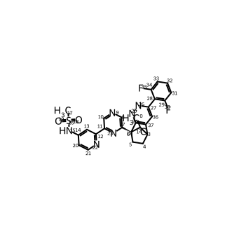 CC12CC13CC[C@]2(c1cncc(-c2cc(NS(C)(=O)=O)ccn2)n1)c1nnc(-c2c(F)cccc2F)cc13